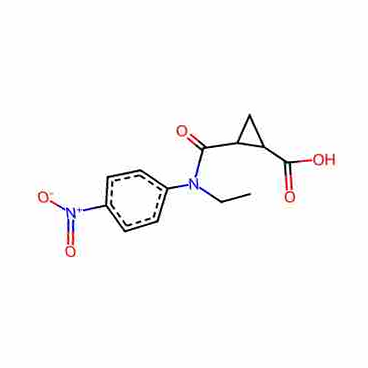 CCN(C(=O)C1CC1C(=O)O)c1ccc([N+](=O)[O-])cc1